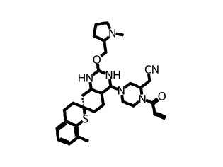 C=CC(=O)N1CCN(C2NC(OCC3CCCN3C)NC3C[C@]4(CCc5cccc(C)c5S4)CCC32)CC1CC#N